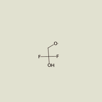 [O]CC(O)(F)F